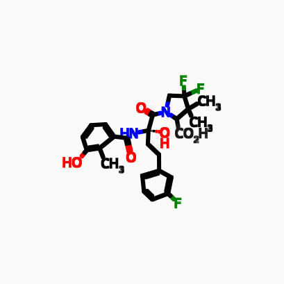 Cc1c(O)cccc1C(=O)N[C@](O)(CCc1cccc(F)c1)C(=O)N1CC(F)(F)C(C)(C)C1C(=O)O